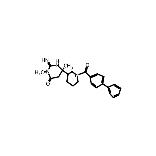 CN1C(=N)N[C@](C)(C2CCCN(C(=O)c3ccc(-c4ccccc4)cc3)C2)CC1=O